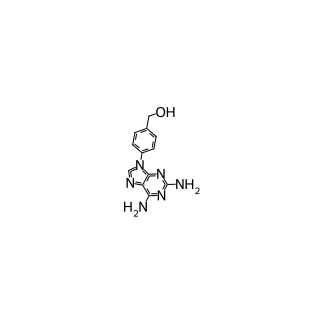 Nc1nc(N)c2ncn(-c3ccc(CO)cc3)c2n1